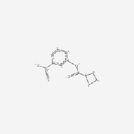 O=C(Oc1cccc([N+](=O)[O-])c1)C1CCC1